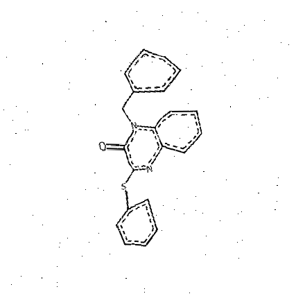 O=c1c(Sc2ccccc2)nc2ccccc2n1Cc1ccccc1